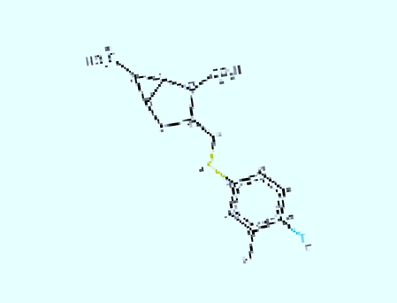 Cc1cc(SCC2CC3C(C(=O)O)C3C2C(=O)O)ccc1F